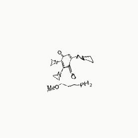 COCCCP.O=C1C=C(N2CC2)C(=O)C(N2CC2)=C1N1CC1